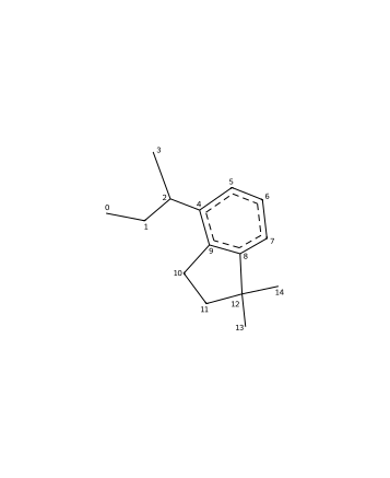 CCC(C)c1cccc2c1CCC2(C)C